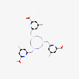 Cc1cc(CN2CCN(Cc3cc(C)cc(C(=O)O)n3)CCN(Cc3cc(C)cc(C(=O)O)n3)CC2)nc(C(=O)O)c1